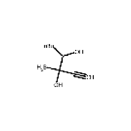 BC(O)(C#C)C(O)CCCC